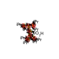 CC(C)CC(C)OP(=O)(CCC(C)OP(=O)(OC(C)CSP(=O)(OC(C)CC(C)C)OC(C)CC(C)C)SCC(C)OP(=O)(OC(C)CSP(=O)(OC(C)CSP(=O)(OC(C)CC(C)C)OC(C)CC(C)C)OC(C)CSP(=O)(OC(C)CC(C)C)OC(C)CC(C)C)SCCC(=O)O)OC(C)CC(C)C